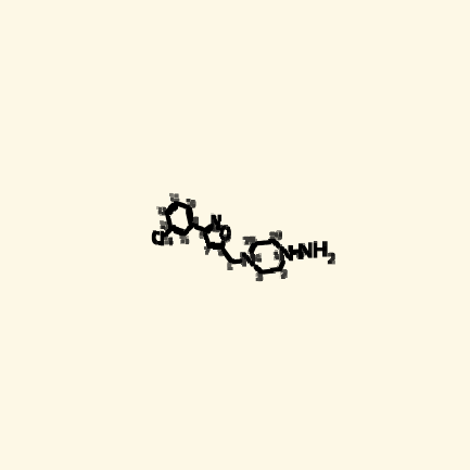 NN1CCN(Cc2cc(-c3cccc(Cl)c3)no2)CC1